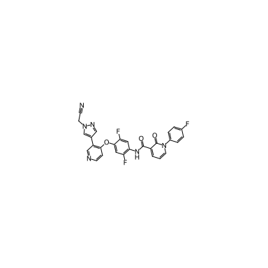 N#CCn1cc(-c2cnccc2Oc2cc(F)c(NC(=O)c3cccn(-c4ccc(F)cc4)c3=O)cc2F)cn1